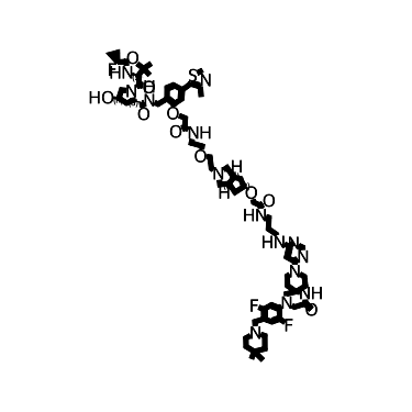 Cc1ncsc1-c1ccc(CNC(=O)[C@@H]2C[C@@H](O)CN2C(=O)[C@@H](NC(=O)C2(F)CC2)C(C)(C)C)c(OCC(=O)NCCOCCN2C[C@H]3C[C@@H](OCC(=O)NCCCNc4cc(N5CCC6(CC5)CN(c5cc(F)c(CN7CCC(C)(C)CC7)cc5F)CC(=O)N6)ncn4)C[C@H]3C2)c1